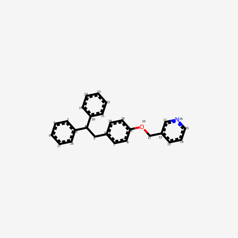 c1ccc([C](Cc2ccc(OCc3cccnc3)cc2)c2ccccc2)cc1